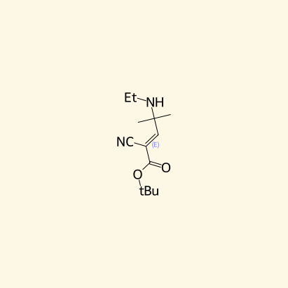 CCNC(C)(C)/C=C(\C#N)C(=O)OC(C)(C)C